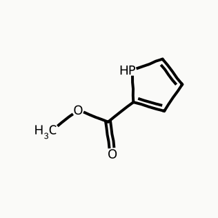 COC(=O)c1ccc[pH]1